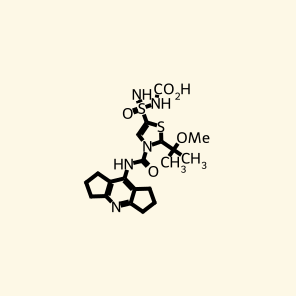 COC(C)(C)C1SC(S(=N)(=O)NC(=O)O)=CN1C(=O)Nc1c2c(nc3c1CCC3)CCC2